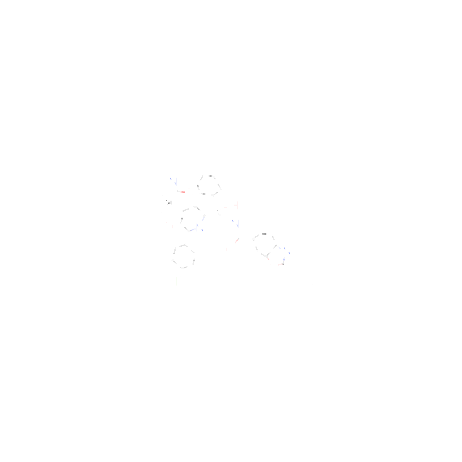 C[C@]1(C(N)=O)COc2c1cc([C@@](O)(CNC(=O)c1ccc3nc(C4CCC4)oc3c1)c1ccccc1)nc2-c1cc(Cl)c(F)cc1F